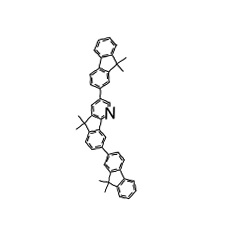 CC1(C)c2ccccc2-c2ccc(-c3ccc4c(c3)-c3ncc(-c5ccc6c(c5)C(C)(C)c5ccccc5-6)cc3C4(C)C)cc21